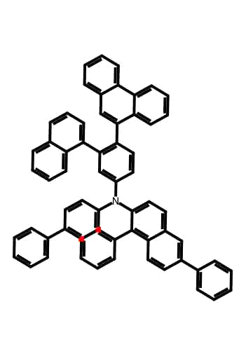 c1ccc(-c2ccc(N(c3ccc(-c4cc5ccccc5c5ccccc45)c(-c4cccc5ccccc45)c3)c3ccc4cc(-c5ccccc5)ccc4c3-c3ccccc3)cc2)cc1